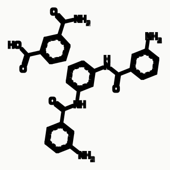 NC(=O)c1cccc(C(=O)O)c1.Nc1cccc(C(=O)Nc2cccc(NC(=O)c3cccc(N)c3)c2)c1